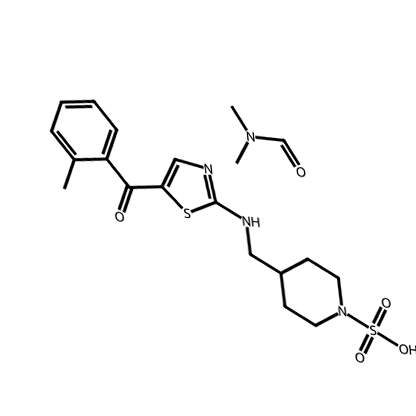 CN(C)C=O.Cc1ccccc1C(=O)c1cnc(NCC2CCN(S(=O)(=O)O)CC2)s1